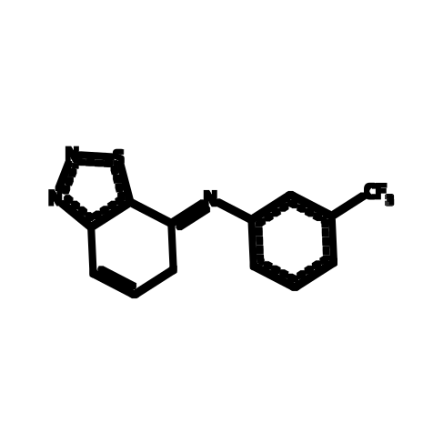 FC(F)(F)c1cccc(N=C2CC=Cc3nnsc32)c1